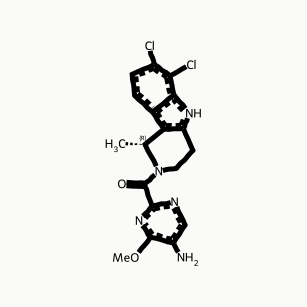 COc1nc(C(=O)N2CCc3[nH]c4c(Cl)c(Cl)ccc4c3[C@H]2C)ncc1N